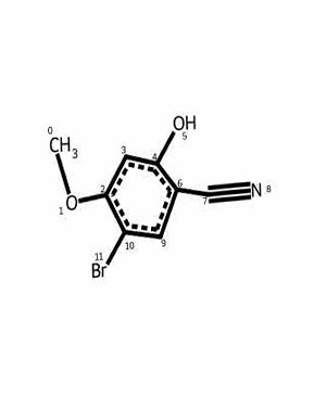 COc1cc(O)c(C#N)cc1Br